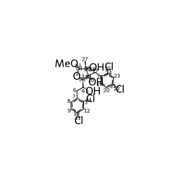 CO[C@H]1O[C@H](C(O)Cc2ccc(Cl)cc2Cl)[C@](O)(Cc2ccc(Cl)cc2Cl)[C@@]1(C)O